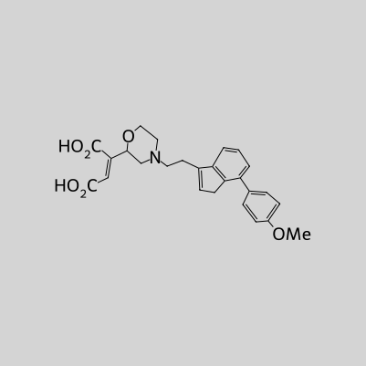 COc1ccc(-c2cccc3c2CC=C3CCN2CCOC(C(=CC(=O)O)C(=O)O)C2)cc1